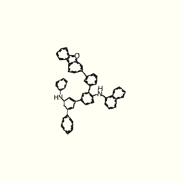 C1=C(c2ccc(Nc3cccc4ccccc34)c(-c3cccc(-c4ccc5c(c4)oc4ccccc45)c3)c2)C=C(c2ccccc2)CC1Nc1ccccc1